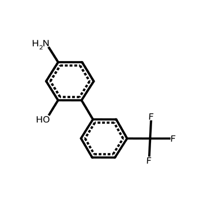 Nc1ccc(-c2cccc(C(F)(F)F)c2)c(O)c1